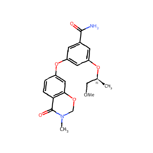 COC[C@H](C)Oc1cc(Oc2ccc3c(c2)OCN(C)C3=O)cc(C(N)=O)c1